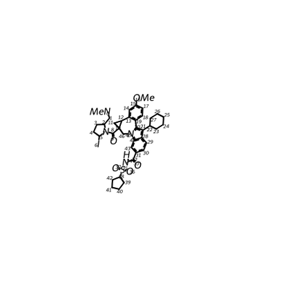 CNCC1CCC(I)N1C(=O)C12CC1c1cc(OC)ccc1-c1c(C3CCCCC3)c3ccc(C(=O)NS(=O)(=O)C4CCCC4)cc3n1C2